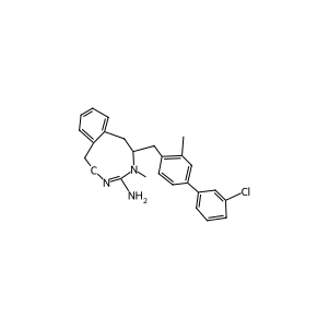 Cc1cc(-c2cccc(Cl)c2)ccc1CC1Cc2ccccc2CC/N=C(/N)N1C